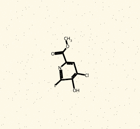 COC(=O)c1cc(Cl)c(O)c(I)n1